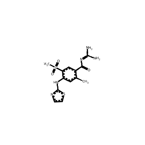 Cc1cc(Nc2nccs2)c(S(C)(=O)=O)cc1C(=O)N=C(N)N